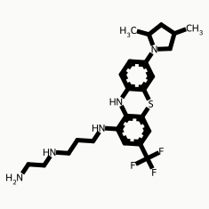 CC1CC(C)N(c2ccc3c(c2)Sc2cc(C(F)(F)F)cc(NCCCNCCN)c2N3)C1